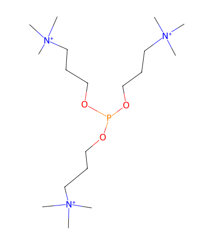 C[N+](C)(C)CCCOP(OCCC[N+](C)(C)C)OCCC[N+](C)(C)C